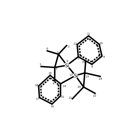 CC1(C)C(C)(C)[Si]1(c1ccccc1)[Si]1(c2ccccc2)C(C)(C)C1(C)C